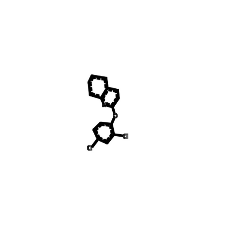 Clc1ccc(Oc2ccc3ccccc3n2)c(Cl)c1